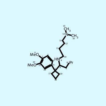 COc1ccc(C2(C(CC(C)C)NCCCCN(C)C)CCC2)cc1OC